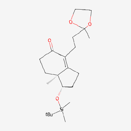 CC1(CCC2=C3CC[C@H](O[Si](C)(C)C(C)(C)C)[C@@]3(C)CCC2=O)OCCO1